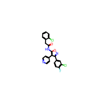 O=C(Cc1ccccc1Cl)Nc1onc(-c2ccc(F)c(Cl)c2)c1-c1ccncc1